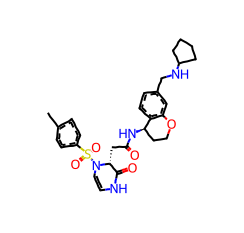 Cc1ccc(S(=O)(=O)N2C=CNC(=O)[C@H]2CC(=O)N[C@@H]2CCOc3cc(CNC4CCCC4)ccc32)cc1